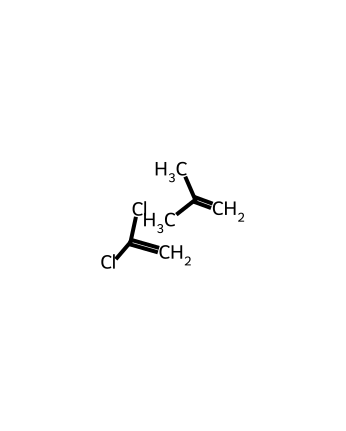 C=C(C)C.C=C(Cl)Cl